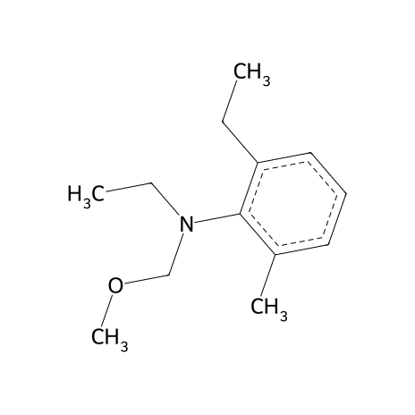 CCc1cccc(C)c1N(CC)COC